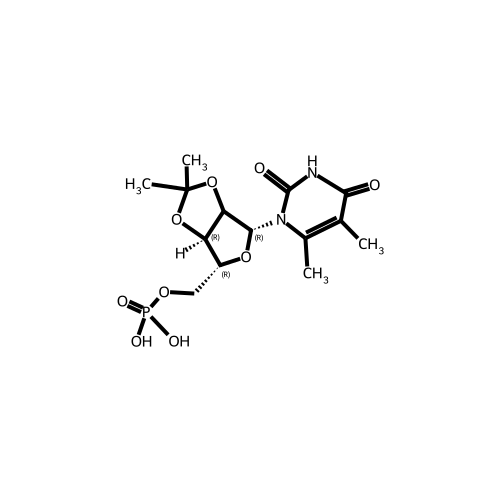 Cc1c(C)n([C@@H]2O[C@H](COP(=O)(O)O)[C@H]3OC(C)(C)OC23)c(=O)[nH]c1=O